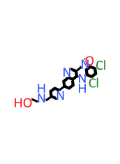 COc1cc(Nc2c(C#N)cnc3cc(-c4ccc(CNCCO)cn4)ccc23)c(Cl)cc1Cl